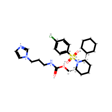 O=C(NCCCn1ccnc1)OC[C@H]1CCC[C@@H](C2CCCCC2)N1S(=O)(=O)c1ccc(Cl)cc1